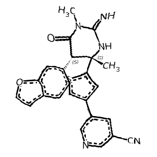 CN1C(=N)N[C@](C)(c2cc(-c3cncc(C#N)c3)cs2)[C@H](c2ccc3ccoc3c2)C1=O